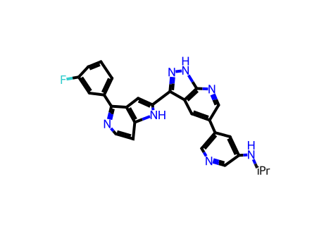 CC(C)Nc1cncc(-c2cnc3[nH]nc(-c4cc5c(-c6cccc(F)c6)nccc5[nH]4)c3c2)c1